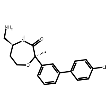 C[C@]1(c2cccc(-c3ccc(Cl)cc3)c2)OCC[C@@H](CN)NC1=O